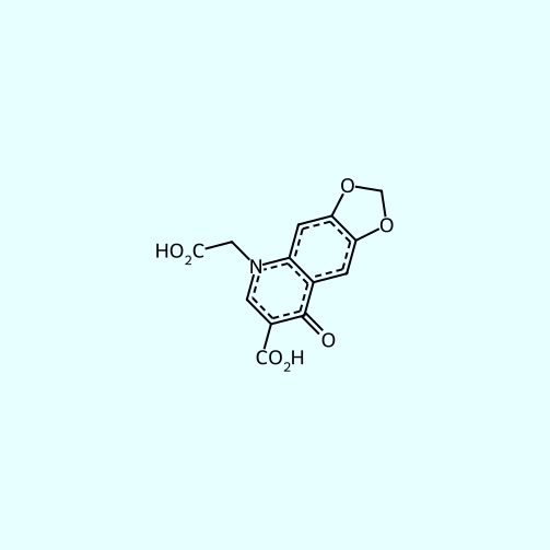 O=C(O)Cn1cc(C(=O)O)c(=O)c2cc3c(cc21)OCO3